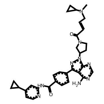 CN(CC=CC(=O)N1CCC(n2nc(-c3ccc(C(=O)Nc4cc(C5CC5)ccn4)cc3)c3c(N)ncnc32)C1)C1CC1